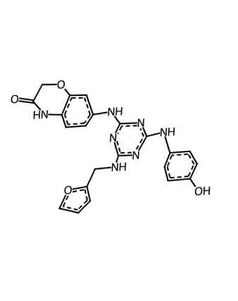 O=C1COc2cc(Nc3nc(NCc4ccco4)nc(Nc4ccc(O)cc4)n3)ccc2N1